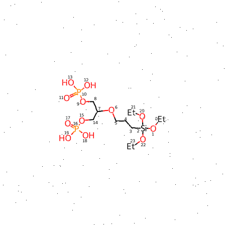 CCO[Si](CCCOC(COP(=O)(O)O)COP(=O)(O)O)(OCC)OCC